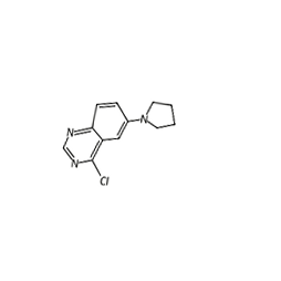 Clc1ncnc2ccc(N3CCCC3)cc12